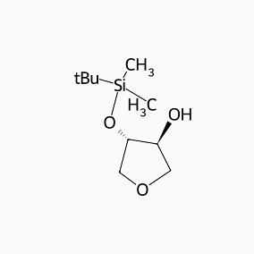 CC(C)(C)[Si](C)(C)O[C@H]1COC[C@@H]1O